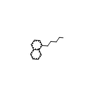 CC(=O)[CH]CCCc1cccc2ccccc12